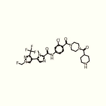 Cn1c(-c2cn(CF)nc2C(F)(F)F)cnc1C(=O)Nc1ccc(C(=O)N2CCN(C(=O)C3CCNCC3)CC2)c(Cl)c1